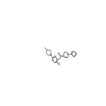 CC1CCN(c2ccc(=O)n(CC(=O)N3C=CN(c4ccccc4)CC3)n2)CC1